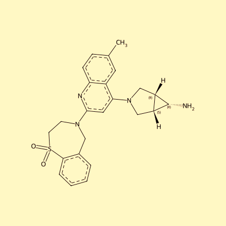 Cc1ccc2nc(N3CCS(=O)(=O)c4ccccc4C3)cc(N3C[C@@H]4[C@H](N)[C@@H]4C3)c2c1